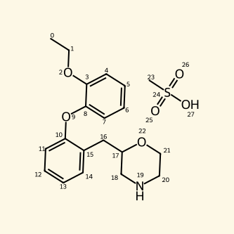 CCOc1ccccc1Oc1ccccc1CC1CNCCO1.CS(=O)(=O)O